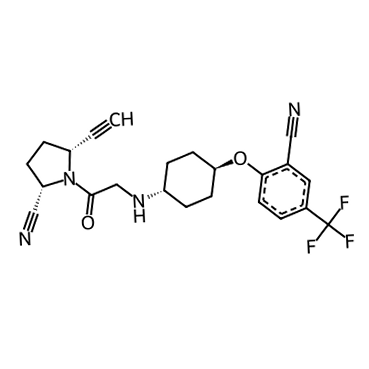 C#C[C@H]1CC[C@@H](C#N)N1C(=O)CN[C@H]1CC[C@H](Oc2ccc(C(F)(F)F)cc2C#N)CC1